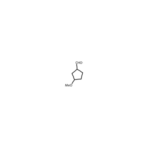 COC1CCC([C]=O)C1